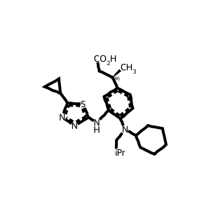 CC(C)CN(c1ccc([C@H](C)CC(=O)O)cc1Nc1nnc(C2CC2)s1)C1CCCCC1